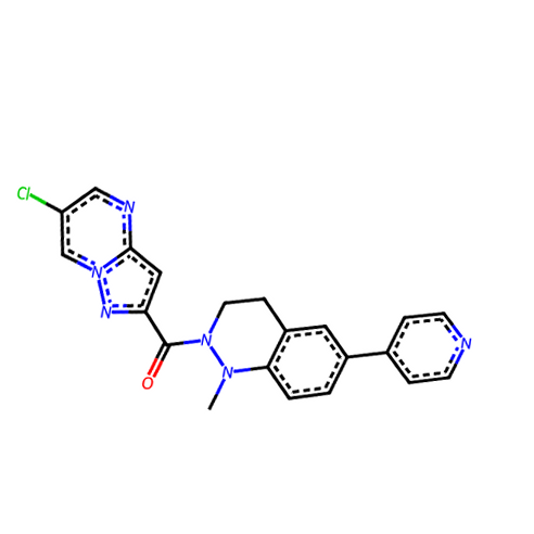 CN1c2ccc(-c3ccncc3)cc2CCN1C(=O)c1cc2ncc(Cl)cn2n1